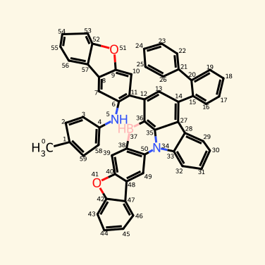 Cc1ccc(Nc2cc3c(cc2-c2cc(-c4ccccc4-c4ccccc4)c4c5ccccc5n5c4c2Bc2cc4oc6ccccc6c4cc2-5)oc2ccccc23)cc1